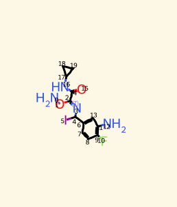 NO/C(=N\C(I)c1ccc(F)c(N)c1)C(=O)NC1CC1